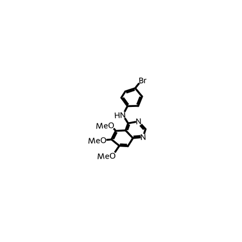 COc1cc2ncnc(Nc3ccc(Br)cc3)c2c(OC)c1OC